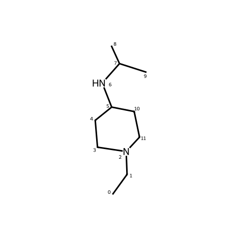 CCN1CCC(NC(C)C)CC1